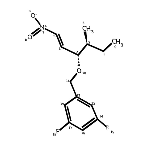 CC[C@H](C)[C@@H](C=C[N+](=O)[O-])OCc1cc(F)cc(F)c1